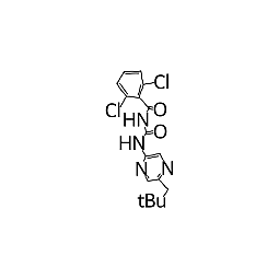 CC(C)(C)Cc1cnc(NC(=O)NC(=O)c2c(Cl)cccc2Cl)cn1